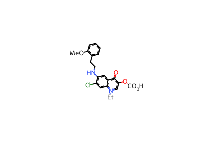 CCn1cc(OC(=O)O)c(=O)c2cc(NCCc3ccccc3OC)c(Cl)cc21